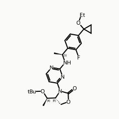 CCOC1(c2ccc([C@H](C)Nc3nccc(N4C(=O)OC[C@@H]4[C@@H](C)OC(C)(C)C)n3)c(F)c2)CC1